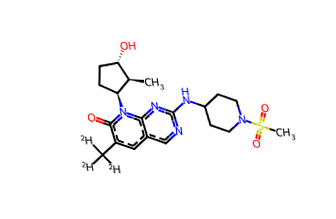 [2H]C([2H])([2H])c1cc2cnc(NC3CCN(S(C)(=O)=O)CC3)nc2n([C@H]2CC[C@H](O)[C@H]2C)c1=O